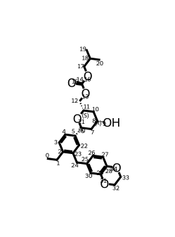 CCc1ccc([C@H]2C[C@@H](O)C[C@@H](COC(=O)OCC(C)C)O2)cc1Cc1ccc2c(c1)OCCO2